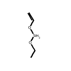 C=CO[SiH2]OCC